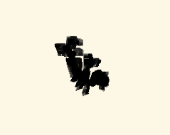 CCC(NC(=O)OC(C)(C)C)c1nnc(-c2cnc(Nc3ccc4ncsc4c3)cc2NC(C)C)o1